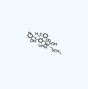 CSCC[C@H](NC(=O)c1ccc(C=Cc2cnccc2O)cc1-c1ccccc1C)C(=O)O.[LiH]